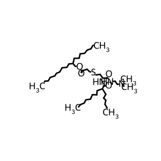 CCCCCCCCCCC(CCCCCCCC)COC(=O)CCSCCC(NC(=O)C(CCCCCC)CCCCCCCC)C(=O)NCCN(C)C